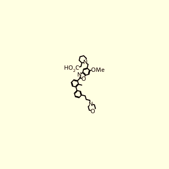 COc1cc2oc(-c3cccc(-c4cccc(CCCN5CCOCC5)c4)c3C)nc2cc1CN1CCCCC1CC(=O)O